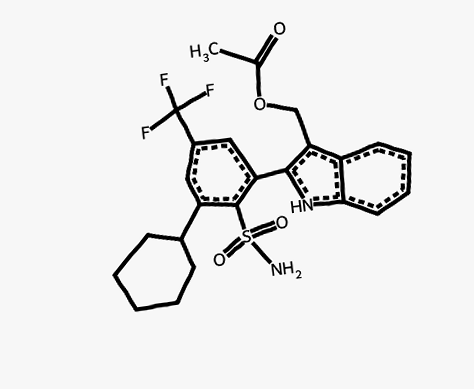 CC(=O)OCc1c(-c2cc(C(F)(F)F)cc(C3CCCCC3)c2S(N)(=O)=O)[nH]c2ccccc12